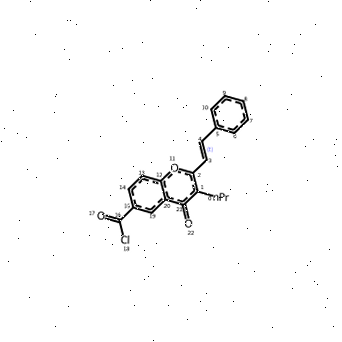 CCCc1c(/C=C/c2ccccc2)oc2ccc(C(=O)Cl)cc2c1=O